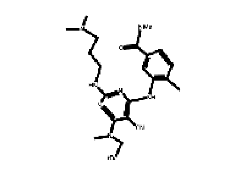 CNC(=O)c1ccc(C)c(Nc2nc(NCCCN(C)C)nc(N(C)CC(C)(C)C)c2C#N)c1